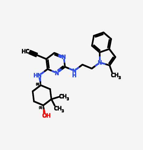 C#Cc1cnc(NCCn2c(C)cc3ccccc32)nc1N[C@@H]1CC[C@H](O)C(C)(C)C1